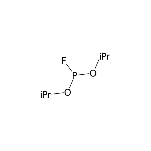 CC(C)OP(F)OC(C)C